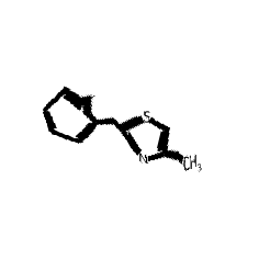 Cc1csc(-c2[c]cccc2)n1